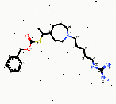 CC(SC(=O)OCc1ccccc1)C1CCCN(CCCCCNC(=N)N)CC1